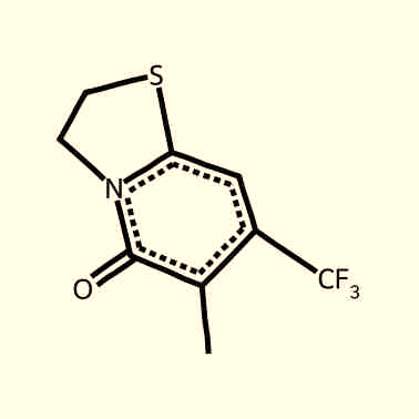 Cc1c(C(F)(F)F)cc2n(c1=O)CCS2